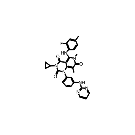 Cc1ccc(Nc2c3c(=O)n(C4CC4)c(=O)n(-c4cccc(Nc5ncccn5)c4)c3c(C)c(=O)n2C)c(F)c1